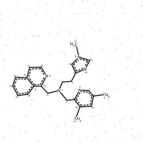 Cc1cnc(CN(CCc2cn(C)cn2)Cc2nccc3ccccc23)c(C)c1